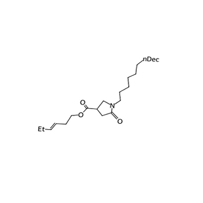 CCC=CCCOC(=O)C1CC(=O)N(CCCCCCCCCCCCCCCC)C1